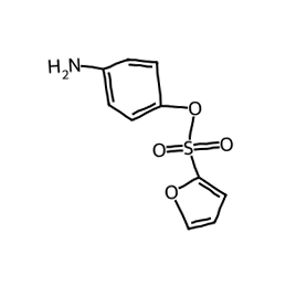 Nc1ccc(OS(=O)(=O)c2ccco2)cc1